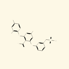 NC(=O)c1c(Nc2ccc(I)cc2F)cc(F)cc1Oc1cccc(CS(N)(=O)=O)c1